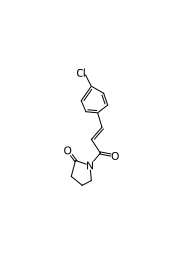 O=C(C=Cc1ccc(Cl)cc1)N1CCCC1=O